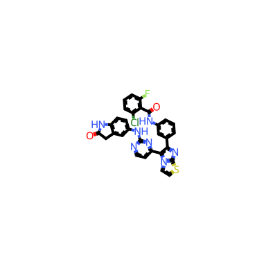 O=C1Cc2cc(Nc3nccc(-c4c(-c5cccc(NC(=O)c6c(F)cccc6Cl)c5)nc5sccn45)n3)ccc2N1